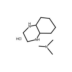 C1CCC2NCCNC2C1.CN(C)C.Cl